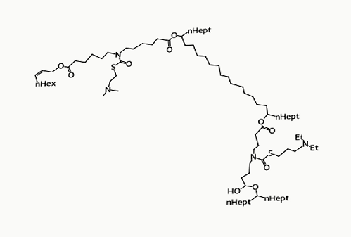 CCCCCC/C=C\COC(=O)CCCCCN(CCCCCC(=O)OC(CCCCCCC)CCCCCCCCCCCCCCC(CCCCCCC)OC(=O)CCCN(CCCC(O)OC(CCCCCCC)CCCCCCC)C(=O)SCCCN(CC)CC)C(=O)SCCN(C)C